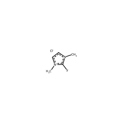 Cn1cc[n+](C)c1F.[Cl-]